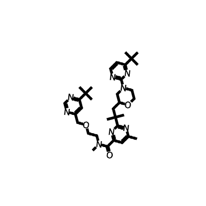 Cc1cc(C(=O)N(C)CCOCc2cc(C(C)(C)C)ncn2)nc(C(C)(C)CC2CN(c3nccc(C(C)(C)C)n3)CCO2)n1